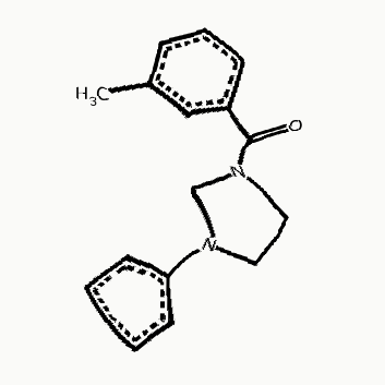 Cc1cccc(C(=O)N2CCN(c3ccccc3)C2)c1